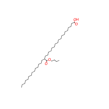 CCCCCCCCCCCCCCC(CCCCCCCCCCCCCCCCCC(=O)O)C(=O)OCCCC